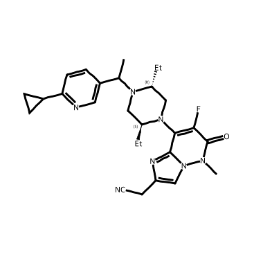 CC[C@H]1CN(C(C)c2ccc(C3CC3)nc2)[C@H](CC)CN1c1c(F)c(=O)n(C)n2cc(CC#N)nc12